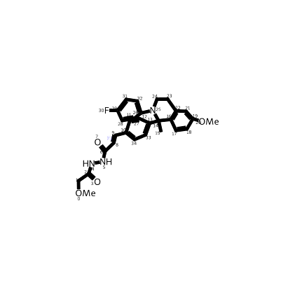 COCC(=O)NNC(=O)/C=C/c1ccc(C2(C)c3ccc(OC)cc3CCN2c2ccc(F)cc2)cc1